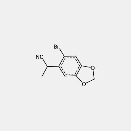 CC(C#N)c1cc2c(cc1Br)OCO2